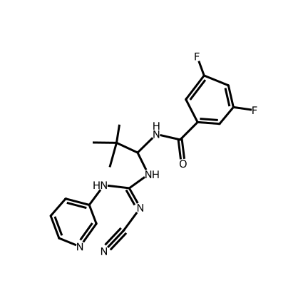 CC(C)(C)C(NC(=O)c1cc(F)cc(F)c1)N/C(=N/C#N)Nc1cccnc1